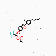 C=CC(=O)OCC(C)(COc1ccc2cc(-c3ccc(CCCCC)cc3CC)oc2c1)C(F)(F)F